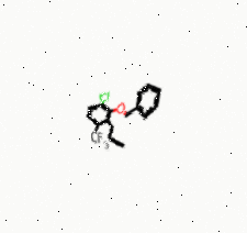 C=CCc1c(C(F)(F)F)ccc(Cl)c1OCc1ccccc1